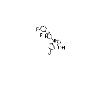 O=C(O)c1cc(C2CC2)ccc1Nc1cnc(-c2cccc(F)c2F)nc1